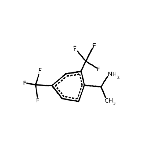 CC(N)c1ccc(C(F)(F)F)cc1C(F)(F)F